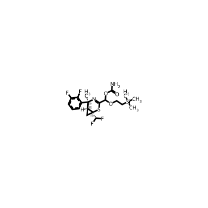 C[C@]1(c2cccc(F)c2F)N=C(C(OCC[Si](C)(C)C)OC(N)=O)S[C@@]2(C(F)F)C[C@@H]12